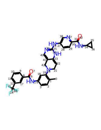 Cc1ccc(NC(=O)c2cccc(C(F)(F)F)c2)cc1N1CC=C2NC(Nc3ccc(C(=O)NC4CC4)nc3)=NC=C2C1